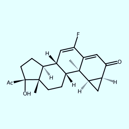 CC(=O)[C@@]1(O)CC[C@H]2[C@@H]3C=C(F)C4=CC(=O)[C@H]5C[C@H]5[C@@]4(C)[C@@H]3CC[C@@]21C